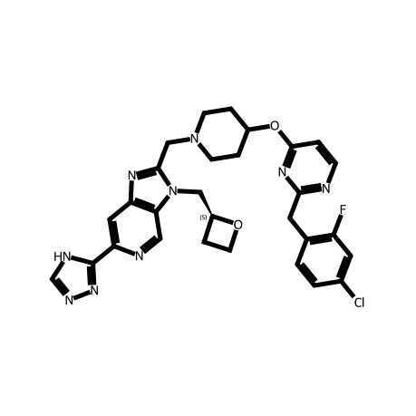 Fc1cc(Cl)ccc1Cc1nccc(OC2CCN(Cc3nc4cc(-c5nnc[nH]5)ncc4n3C[C@@H]3CCO3)CC2)n1